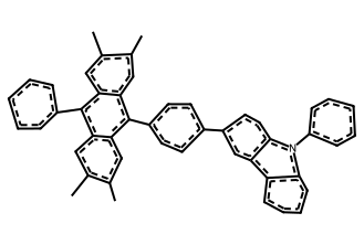 Cc1cc2c(-c3ccccc3)c3cc(C)c(C)cc3c(-c3ccc(-c4ccc5c(c4)c4ccccc4n5-c4ccccc4)cc3)c2cc1C